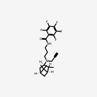 C#CCN(CCCNC(=O)c1c(F)c(F)c(F)c(F)c1F)[C@@H]1C[C@@H]2C[C@H]([C@H]1C)C2(C)C